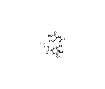 CC(=O)NC(CS)C(=O)O.CCCOC(=O)c1cc(O)c(O)c(O)c1